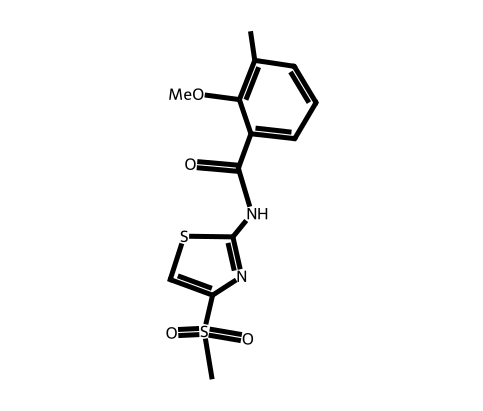 COc1c(C)cccc1C(=O)Nc1nc(S(C)(=O)=O)cs1